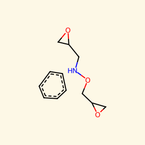 C(NOCC1CO1)C1CO1.c1ccccc1